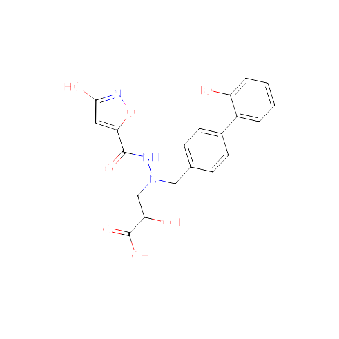 O=C(NN(Cc1ccc(-c2ccccc2O)cc1)CC(O)C(=O)O)c1cc(O)no1